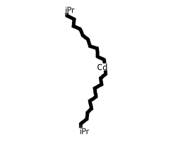 CC(C)CCCCCCCCC[CH2][Cd][CH2]CCCCCCCCCC(C)C